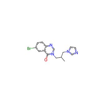 CC(Cn1ccnc1)Cn1cnc2ccc(Br)cc2c1=O